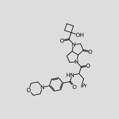 CC(C)CC(NC(=O)c1ccc(N2CCOCC2)cc1)C(=O)N1CCC2C1C(=O)CN2C(=O)C1(O)CCC1